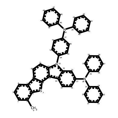 Cc1cccc2c1sc1c2ccc2c1c1ccc(N(c3ccccc3)c3ccccc3)cc1n2-c1ccc(N(c2ccccc2)c2ccccc2)cc1